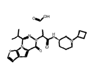 CC(C)c1nn(C(C)C(=O)N[C@@H]2CCCN(C3CCC3)C2)c(=O)c2cc3ccsc3n12.O=CO